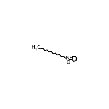 CCCCCCCCCCCCCCNC(=O)C1[CH]CC=CC1